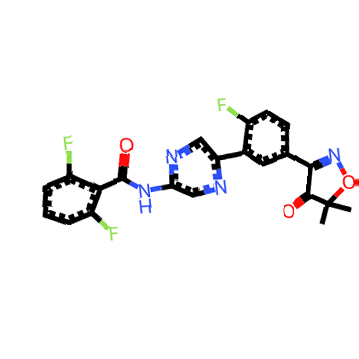 CC1(C)ON=C(c2ccc(F)c(-c3cnc(NC(=O)c4c(F)cccc4F)cn3)c2)C1=O